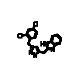 Clc1ccc(Cn2cc(Cc3nc4ccccc4[nH]3)nn2)c(Cl)c1